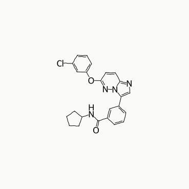 O=C(NC1CCCC1)c1cccc(-c2cnc3ccc(Oc4cccc(Cl)c4)nn23)c1